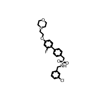 O=S(=O)(Cc1ccc(-c2ccc(OCCN3CCOCC3)cc2F)cc1)NCc1cccc(Cl)c1